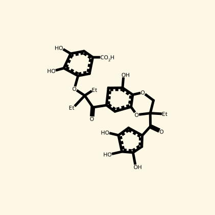 CCC(CC)(Oc1cc(C(=O)O)cc(O)c1O)C(=O)c1cc(O)c2c(c1)OC(CC)(C(=O)c1cc(O)c(O)c(O)c1)CO2